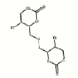 CCC1COC(=O)OC1COCC1OC(=O)OCC1CC